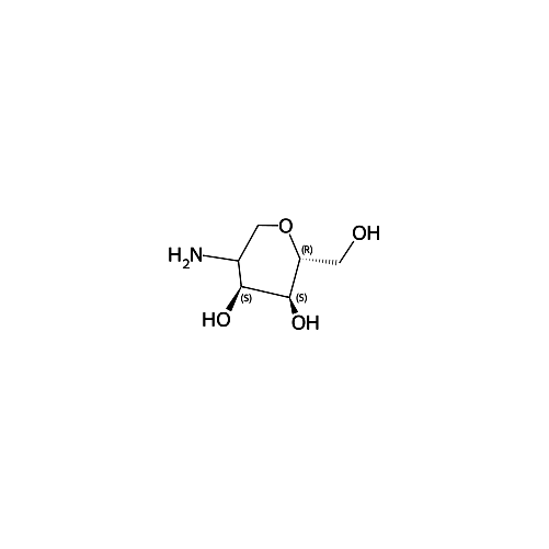 NC1CO[C@H](CO)[C@@H](O)[C@H]1O